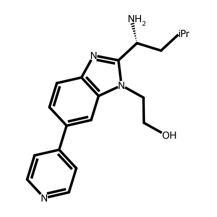 CC(C)C[C@@H](N)c1nc2ccc(-c3ccncc3)cc2n1CCO